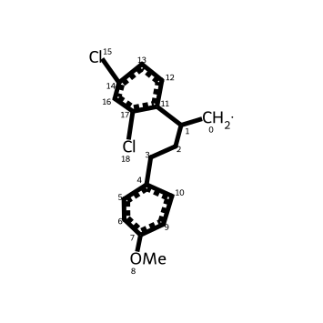 [CH2]C(CCc1ccc(OC)cc1)c1ccc(Cl)cc1Cl